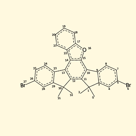 CC1(C)c2cc(Br)ccc2-c2c1c1c(c3c2oc2ccccc23)-c2ccc(Br)cc2C1(C)C